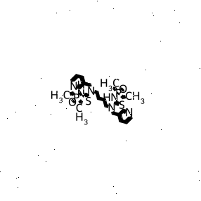 CCP(=O)(CC)NC(=S)N(CCCCN(Cc1cccnc1)C(=S)NP(=O)(CC)CC)Cc1cccnc1